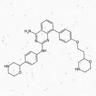 Nc1nc(Nc2ccc(C3CNCCO3)cc2)nc2c(-c3ccc(OCCC4CNCCO4)cc3)cccc12